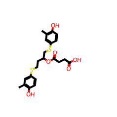 Cc1cc(SCCC(CSc2ccc(O)c(C)c2)OC(=O)CCC(=O)O)ccc1O